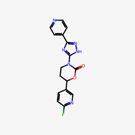 O=C1OC(c2ccc(F)nc2)CCN1c1nc(-c2ccncc2)n[nH]1